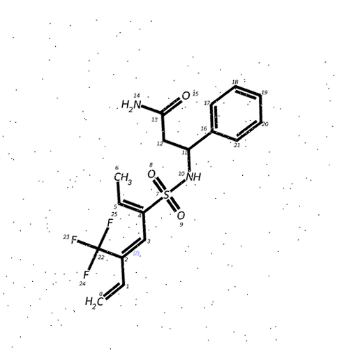 C=C/C(=C/C(=CC)S(=O)(=O)NC(CC(N)=O)c1ccccc1)C(F)(F)F